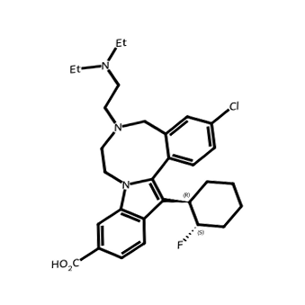 CCN(CC)CCN1CCn2c(c([C@H]3CCCC[C@@H]3F)c3ccc(C(=O)O)cc32)-c2ccc(Cl)cc2C1